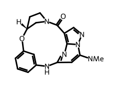 CNc1cc2nc3c(cnn13)C(=O)N1CC[C@H](C1)Oc1cccc(c1)N2